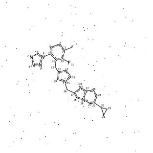 Cc1ccc(-n2cnnn2)c(Cc2ccn(Cc3cn4cc(C5CC5)ccc4n3)c2)c1F